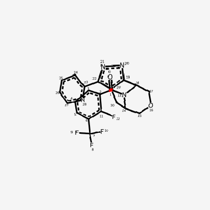 O=C(c1cccc(C(F)(F)F)c1F)N1C2COCC1c1nnc(-c3ccccn3)n1C2